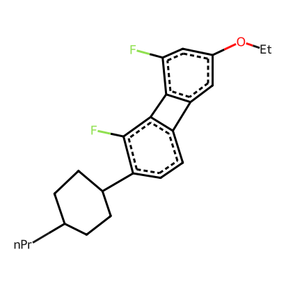 CCCC1CCC(c2ccc3c(c2F)-c2c(F)cc(OCC)cc2-3)CC1